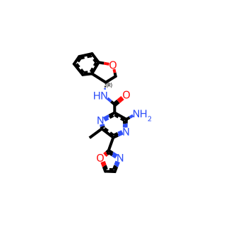 Cc1nc(C(=O)N[C@H]2COc3ccccc32)c(N)nc1-c1ncco1